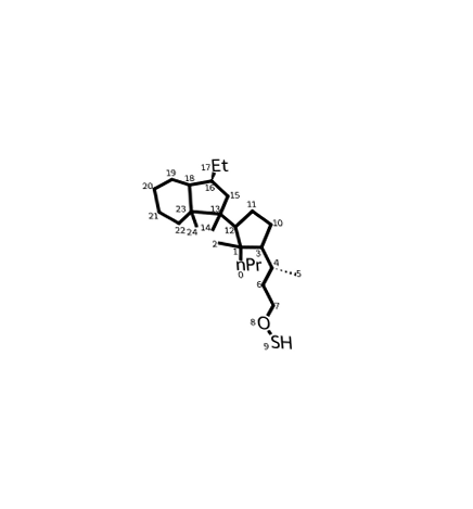 CCCC1(C)C([C@H](C)CCOS)CCC1C1(C)C[C@H](CC)C2CCCCC21C